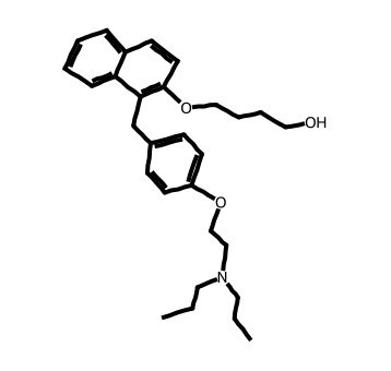 CCCN(CCC)CCOc1ccc(Cc2c(OCCCCO)ccc3ccccc23)cc1